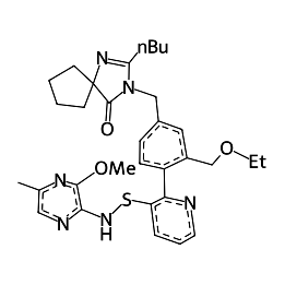 CCCCC1=NC2(CCCC2)C(=O)N1Cc1ccc(-c2ncccc2SNc2ncc(C)nc2OC)c(COCC)c1